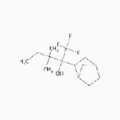 CCC(C)(C)C(O)(C1CC2CCC1C2)C(F)(F)F